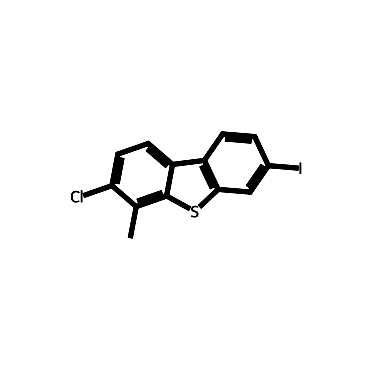 Cc1c(Cl)ccc2c1sc1cc(I)ccc12